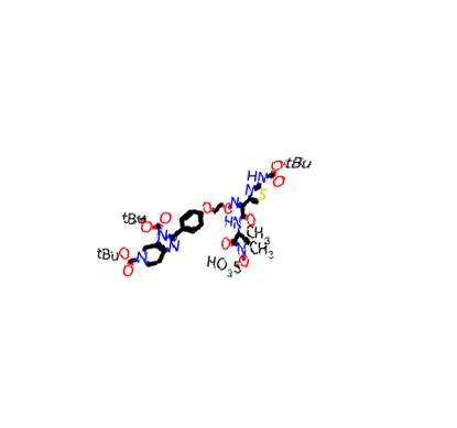 CC(C)(C)OC(=O)Nc1nc(C(=NOCCOc2ccc(-c3nc4c(n3C(=O)OC(C)(C)C)CN(C(=O)OC(C)(C)C)CC4)cc2)C(=O)N[C@@H]2C(=O)N(OS(=O)(=O)O)C2(C)C)cs1